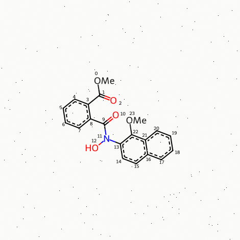 COC(=O)c1ccccc1C(=O)N(O)c1ccc2ccccc2c1OC